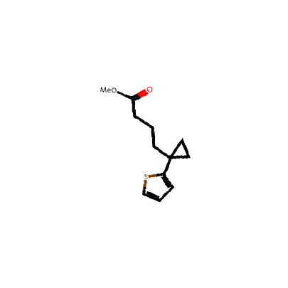 COC(=O)CCCC1(c2cccs2)CC1